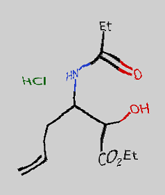 C=CCC(NC(=O)CC)C(O)C(=O)OCC.Cl